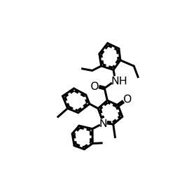 CCc1cccc(CC)c1NC(=O)c1c(-c2cccc(C)c2)n(-c2ccccc2C)c(C)cc1=O